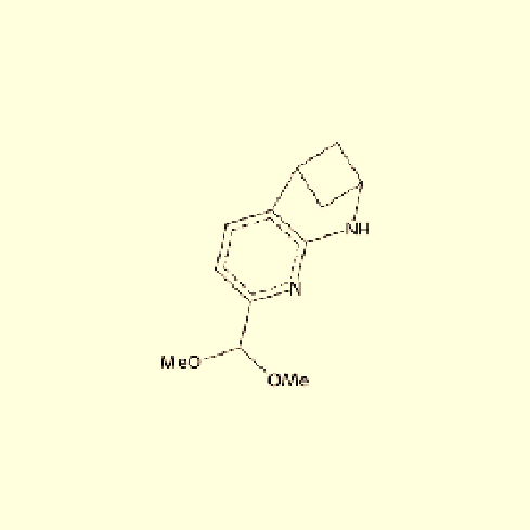 COC(OC)c1ccc2c(n1)NC1CC2C1